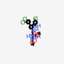 CC(C)(C)OC(=O)/N=C(/NCCNc1ccc(-c2ccc(Cl)c(Cl)c2)c2c1[nH]c1ccc(Cl)cc12)NC(=O)OC(C)(C)C